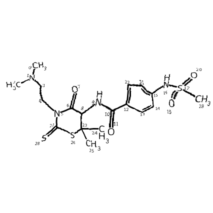 CN(C)CCN1C(=O)C(NC(=O)c2ccc(NS(C)(=O)=O)cc2)C(C)(C)SC1=S